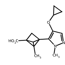 CC1C2(C(=O)O)CC1(c1c(OC3CC3)cnn1C)C2